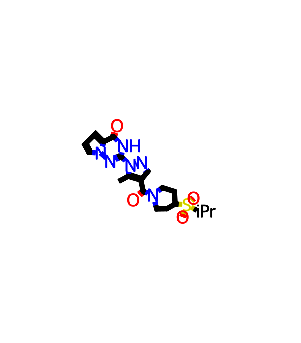 Cc1c(C(=O)N2CCC(S(=O)(=O)C(C)C)CC2)cnn1-c1nn2cccc2c(=O)[nH]1